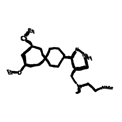 CCOC1CC(OCC)CC2(CCC(c3n[nH]cc3CN(C)CCNC)CC2)C1